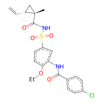 C=C[C@@H]1C[C@]1(C)C(=O)NS(=O)(=O)c1ccc(OCC)c(NC(=O)c2ccc(Cl)cc2)c1